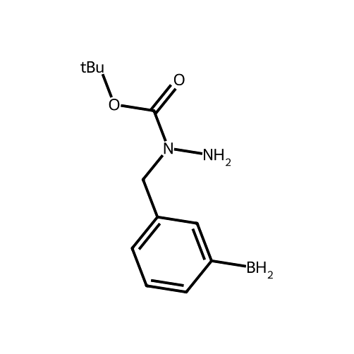 Bc1cccc(CN(N)C(=O)OC(C)(C)C)c1